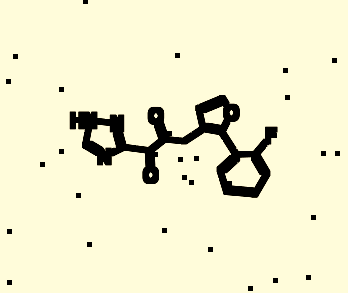 O=C(Cc1ccoc1-c1ccccc1F)C(=O)c1nc[nH]n1